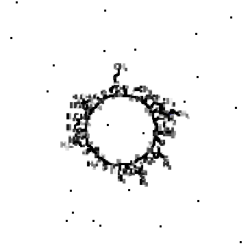 C/C=C/C[C@@H](C)[C@@H](O)[C@H]1C(=O)N[C@@H](CC)C(=O)N(C)[C@H](COCCC)C(=O)N(C)[C@@H](CC(C)(C)O)C(=O)N[C@@H](C(C)C)C(=O)N(C)[C@@H](CC(C)C)C(=O)N[C@@H](C)C(=O)N[C@H](C)C(=O)N(C)[C@@H](CC(C)C)C(=O)N(C)[C@@H](CC(C)C)C(=O)N(C)[C@@H](C(C)C)C(=O)N1C